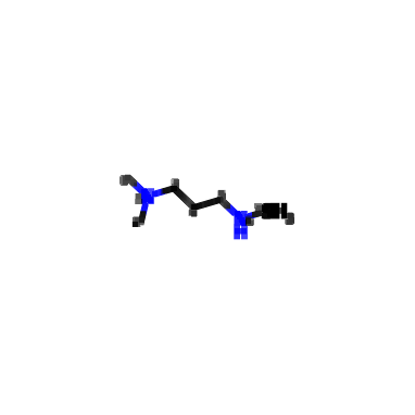 CN(C)CCCN[SiH3]